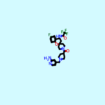 Nc1cc(CN2CCC(C(=O)N3CCC4(CC3)CC(NC(=O)C(F)(F)F)c3cc(F)ccc3O4)CC2)ccn1